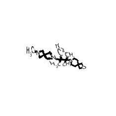 CN1CC2(C1)CN(C(C)(C)C(C)(C)N1CCC3(CC1)COC3)C2